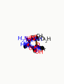 CC(C)N[C@H](Cc1ccccc1)C(=O)N[C@H]1CSSC[C@@H](C(=O)N[C@H](C(=O)O)C(C)O)NC(=O)[C@H](C(C)O)NC(=O)[C@H](CCCCN)NC(=O)[C@@H](Cc2c[nH]c3ccccc23)NC(=O)[C@H](Cc2ccc(O)cc2)NC1=O